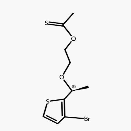 CC(=S)OCCO[C@@H](C)c1sccc1Br